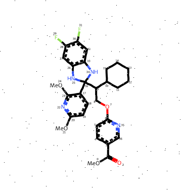 COC(=O)c1ccc(OCC(C2CCCCC2)C2(c3ccc(OC)nc3OC)Nc3cc(F)c(F)cc3N2)nc1